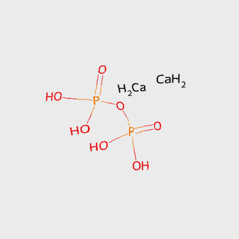 O=P(O)(O)OP(=O)(O)O.[CaH2].[CaH2]